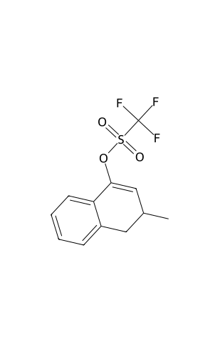 CC1C=C(OS(=O)(=O)C(F)(F)F)c2ccccc2C1